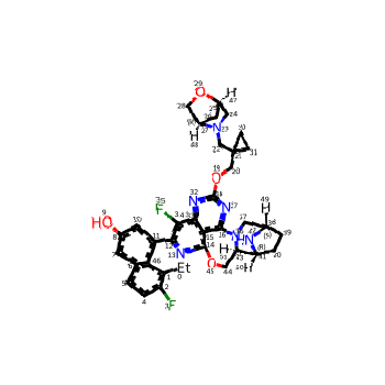 CCc1c(F)ccc2cc(O)cc(-c3nc4c5c(nc(OCC6(CN7C[C@H]8C[C@@H]7CO8)CC6)nc5c3F)N3C[C@@H]5CC[C@@H](N5)[C@H]3CO4)c12